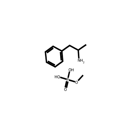 CC(N)Cc1ccccc1.COP(=O)(O)O